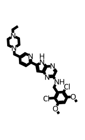 CCN1CCN(Cc2ccc(-c3cc4nc(NCc5c(Cl)c(OC)cc(OC)c5Cl)cnc4[nH]3)nc2)CC1